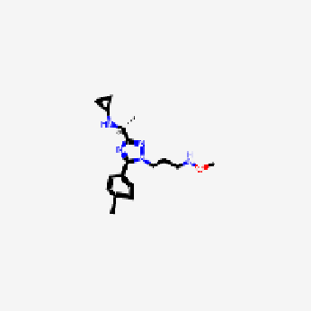 CONCCCn1nc([C@@H](C)NC2CC2)nc1-c1ccc(C)cc1